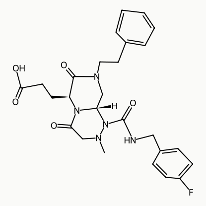 CN1CC(=O)N2[C@@H](CCC(=O)O)C(=O)N(CCc3ccccc3)C[C@@H]2N1C(=O)NCc1ccc(F)cc1